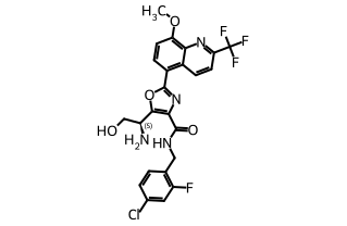 COc1ccc(-c2nc(C(=O)NCc3ccc(Cl)cc3F)c([C@@H](N)CO)o2)c2ccc(C(F)(F)F)nc12